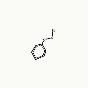 C[CH]OOc1ccccc1